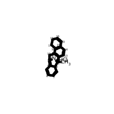 CC12NC(=C3C=CC=CC31)Cc1c2ccc2c1CCC=C2.Cl